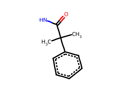 CC(C)(C([NH])=O)c1ccccc1